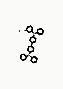 CC1C=CC=C(N(C2=C=C=CC=C2)c2ccc(-c3ccc(N(c4ccccc4)c4ccccc4)cc3)cc2)C1